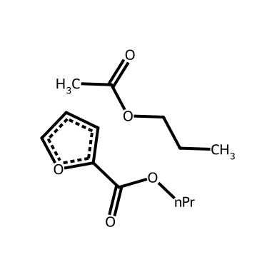 CCCOC(=O)c1ccco1.CCCOC(C)=O